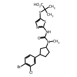 CN(C(=O)Nc1ncc(SC(C)(C)C(=O)O)s1)C1CCC(c2ccc(Br)c(Cl)c2)C1